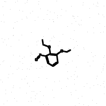 CCOc1cccc(P=O)c1OCC